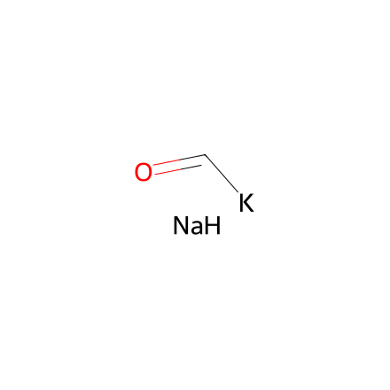 O=[CH][K].[NaH]